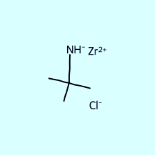 CC(C)(C)[NH-].[Cl-].[Zr+2]